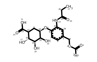 [2H]C(=O)OCc1ccc(O[C@@H]2CC(C(=O)O)[C@@H](O)[C@H](O)C2O)c(NC(=O)CC)c1